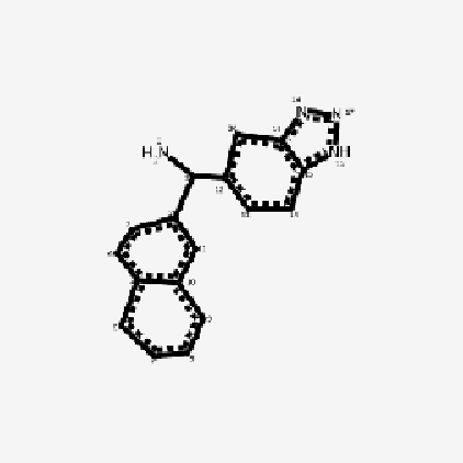 NC(c1ccc2ccccc2c1)c1ccc2[nH]nnc2c1